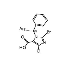 C[C@H](c1ccccc1)n1c(Br)nc(Cl)c1C(=O)O.[Ag]